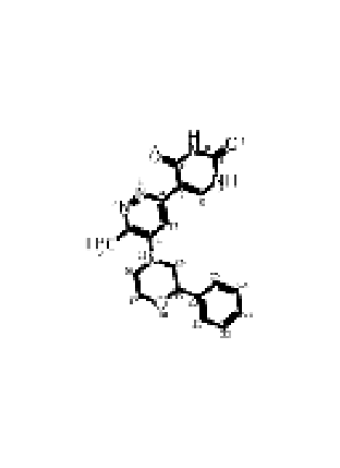 Cc1nnc(-c2c[nH]c(=O)[nH]c2=O)cc1N1CCOC(c2ccccc2)C1